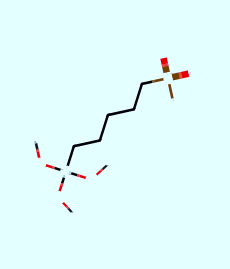 CCO[Si](CCCCCS(=O)(=O)S)(OCC)OCC